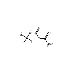 CCC(C)(C)OC(=O)OC(=O)OC